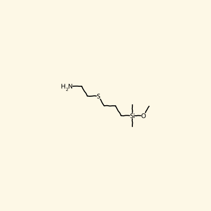 CO[Si](C)(C)CCCSCCN